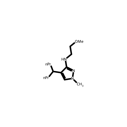 CCCC(CCC)c1cn(C)nc1NCCOC